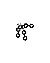 Cc1ccc(-c2ccccc2)cc1-c1n(-c2ccc(-c3ccccc3)cc2)c2cc(-c3ccccc3)ccc2[n+]1C